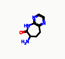 NC1CCc2nccnc2NC1=O